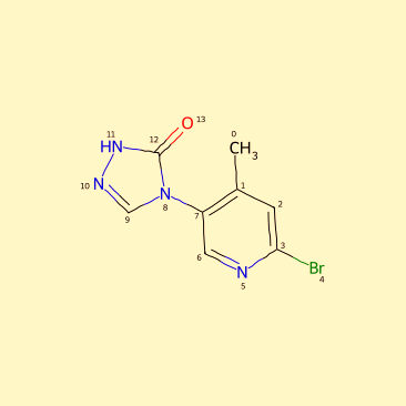 Cc1cc(Br)ncc1-n1cn[nH]c1=O